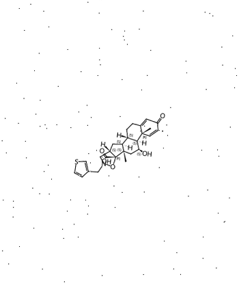 C[C@]12C=CC(=O)C=C1CC[C@@H]1[C@@H]2[C@@H](O)C[C@@]2(C)[C@H]1C[C@H]1CN(Cc3ccsc3)O[C@]12C(=O)O